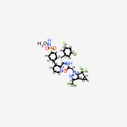 CNS(=O)(=O)c1ccc(-c2cccnc2[C@H](Cc2cc(F)cc(F)c2)NC(=O)Cn2nc(C(F)F)c3c2C(F)(F)C2CC32)cc1